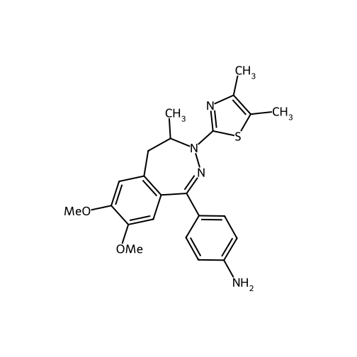 COc1cc2c(cc1OC)C(c1ccc(N)cc1)=NN(c1nc(C)c(C)s1)C(C)C2